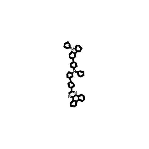 c1ccc(N(c2ccc(-c3ccc4c(c3)c3ccccc3n4-c3ccccc3)cc2)c2cccc(-c3ccc(-c4cnc5c6ccccc6c6ccccc6c5n4)cc3)c2)cc1